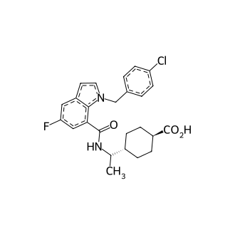 CC(NC(=O)c1cc(F)cc2ccn(Cc3ccc(Cl)cc3)c12)[C@H]1CC[C@H](C(=O)O)CC1